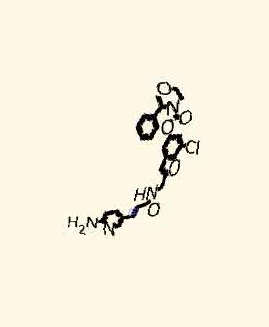 Nc1ccc(/C=C/C(=O)NCc2cc3cc(OC(=O)N4CCOCC4c4ccccc4)cc(Cl)c3o2)cn1